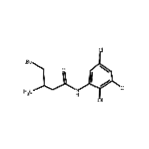 CC(CC(=O)Nc1cc(Cl)cc(Cl)c1O)CC(C)(C)C